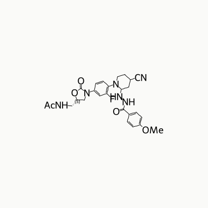 COc1ccc(C(=O)NNC2CC(C#N)CCN2c2ccc(N3C[C@H](CNC(C)=O)OC3=O)cc2F)cc1